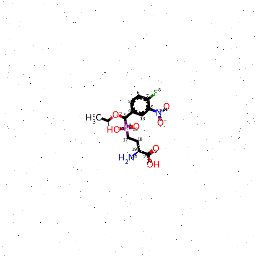 CCOC(c1ccc(F)c([N+](=O)[O-])c1)P(=O)(O)CC[C@H](N)C(=O)O